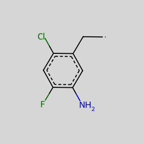 [CH2]Cc1cc(N)c(F)cc1Cl